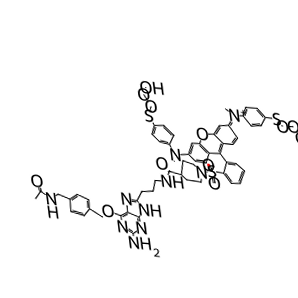 CC(=O)NCc1ccc(COc2nc(N)nc3[nH]c(CCCNC(=O)C4CCN(S(=O)(=O)c5ccccc5-c5c6cc/c(=[N+](/C)c7ccc(SOOO)cc7)cc-6oc6cc(N(C)c7ccc(SOOO)cc7)ccc56)CC4)nc23)cc1